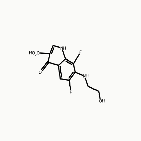 O=C(O)c1c[nH]c2c(F)c(NCCO)c(F)cc2c1=O